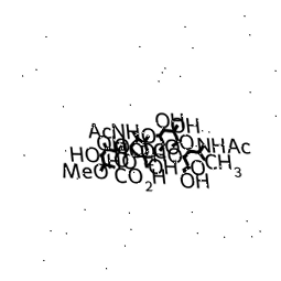 COC1C(C(=O)O)OC(OC2C(O)C(CO)OC(OC3C(C(=O)O)OC(OC4C(O)C(CO)OC(C)C4NC(C)=O)C(O)C3O)C2NC(C)=O)C(O)C1O